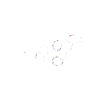 CC(=O)N1c2ccc(N3CCN(C(=O)OC(C)(C)C)C(C)C3)nc2C(Nc2ccccc2)C(C)C1C1CC1